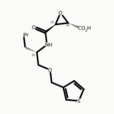 CC(C)C[C@@H](COCc1ccsc1)NC(=O)[C@H]1O[C@@H]1C(=O)O